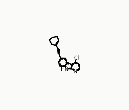 Clc1ccnc2[nH]c3ccc(C#CC4=CCCCC4)cc3c12